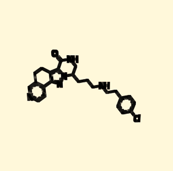 O=C1NCC(CCCNCCc2ccc(Cl)cc2)n2nc3c(c21)CCc1cnccc1-3